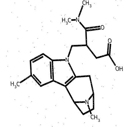 Cc1ccc2c(c1)c1c(n2CC(CC(=O)O)C(=O)N(C)C)CC2CCC1N2C